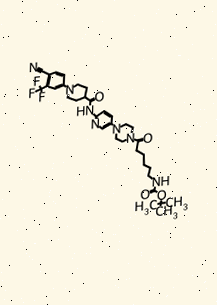 CC(C)(C)OC(=O)NCCCCCC(=O)N1CCN(c2ccc(NC(=O)C3CCN(c4ccc(C#N)c(C(F)(F)F)c4)CC3)nc2)CC1